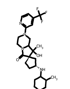 CC1COCCC1N[C@@H]1CC[C@@]2(C1)C(=O)N1CCN(c3cc(C(F)(F)F)ccn3)CC1C2(C)O